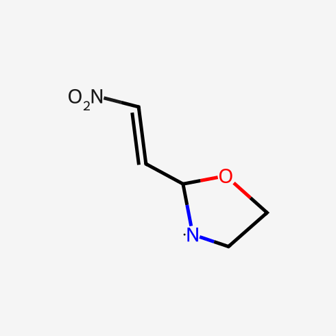 O=[N+]([O-])C=CC1[N]CCO1